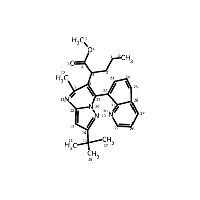 CCCC(C(=O)OC)c1c(C)nc2cc(C(C)(C)C)nn2c1-c1cccc2cccnc12